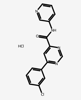 Cl.O=C(Nc1cccnc1)c1cc(-c2cccc(Cl)c2)ncn1